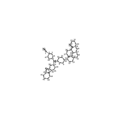 N#Cc1ccc(N(c2ccc(-c3ccc4ccc5cc6cccnc6c6ccc3c4c56)cc2)c2ccc3c(c2)sc2ccccc23)cc1